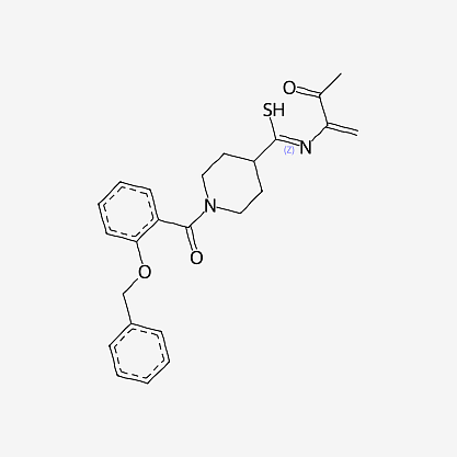 C=C(/N=C(\S)C1CCN(C(=O)c2ccccc2OCc2ccccc2)CC1)C(C)=O